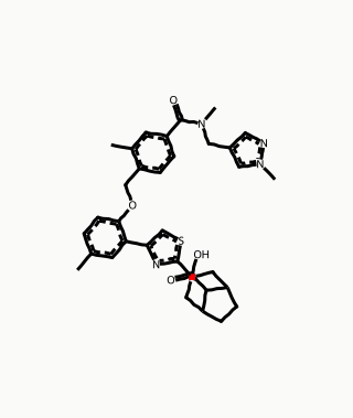 Cc1ccc(OCc2ccc(C(=O)N(C)Cc3cnn(C)c3)cc2C)c(-c2csc(N3CC4CCC(C3)C4C(=O)O)n2)c1